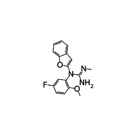 CN=C(N)N(c1cc2ccccc2o1)c1cc(F)ccc1OC